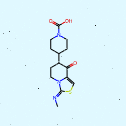 CN=c1scc2n1CCC(C1CCN(C(=O)O)CC1)C2=O